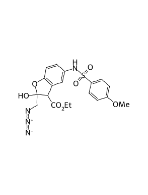 CCOC(=O)C1c2cc(NS(=O)(=O)c3ccc(OC)cc3)ccc2OC1(O)CN=[N+]=[N-]